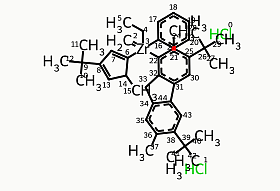 Cl.Cl.[CH2]=[Zr]([CH2]C)([C]1=CC(C(C)(C)C)=CC1C)([c]1ccccc1)[c]1c(C)c(C(C)(C)C)cc2c1Cc1cc(C)c(C(C)(C)C)cc1-2